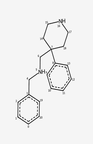 c1ccc(CNCC2(c3ccccc3)CCNCC2)cc1